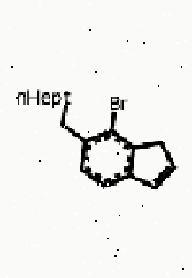 CCCCCCCCc1ccc2c(c1Br)CC=C2